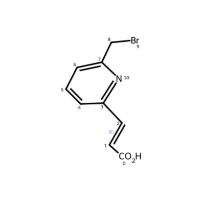 O=C(O)/C=C/c1cccc(CBr)n1